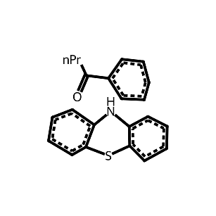 CCCC(=O)c1ccccc1.c1ccc2c(c1)Nc1ccccc1S2